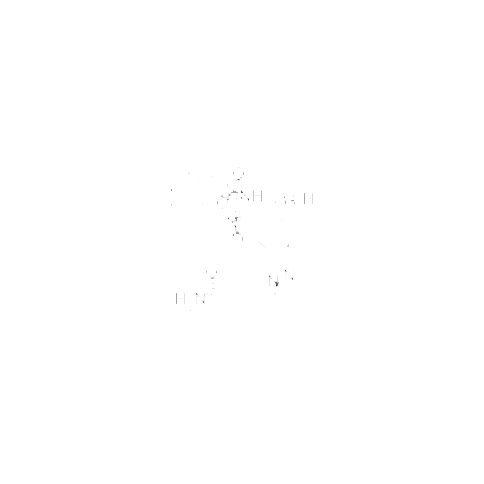 COc1cc(Cn2ccc(CC#CC(N)=O)n2)cc2onc(NS(=O)(=O)CC3CCCCC3)c12